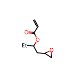 C=CC(=O)OC(CC)CC1CO1